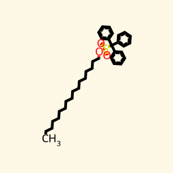 CCCCCCCCCCCCCCCCCOS(=O)(=O)C(c1ccccc1)(c1ccccc1)c1ccccc1